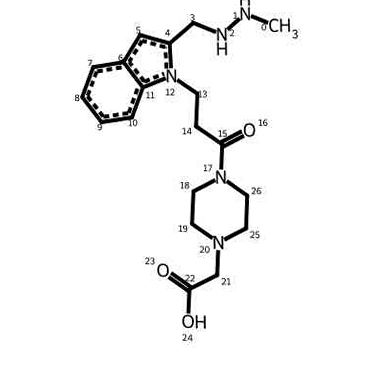 CNNCc1cc2ccccc2n1CCC(=O)N1CCN(CC(=O)O)CC1